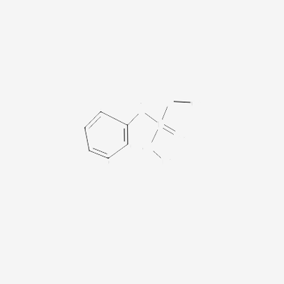 CCCOP(=S)(OCCC)Sc1ccccc1